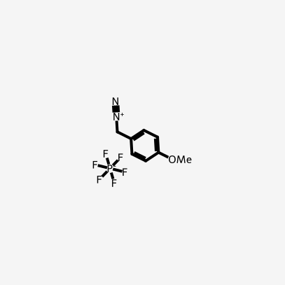 COc1ccc(C[N+]#N)cc1.F[P-](F)(F)(F)(F)F